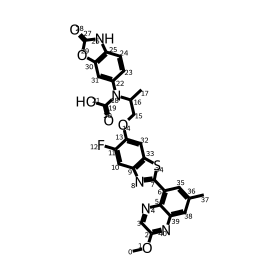 COc1cnc2c(-c3nc4cc(F)c(OCC(C)N(C(=O)O)c5ccc6[nH]c(=O)oc6c5)cc4s3)cc(C)cc2n1